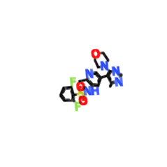 Cc1ncc(-c2c(C)ncnc2N2CCOCC2)cc1NS(=O)(=O)c1c(F)cccc1F